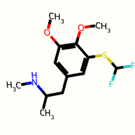 CNC(C)Cc1cc(OC)c(OC)c(SC(F)F)c1